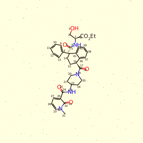 CCOC(=O)[C@H](CO)NC(=O)[C@@]1(c2ccccc2)CC[C@H](C(=O)N2CCC(NC(=O)c3cccn(C)c3=O)CC2)c2ccccc21